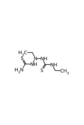 CCNC(=S)NN(CC)NC(N)=S